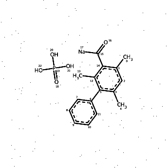 Cc1cc(C)c(-c2ccccc2)c(C)c1[C](=O)[Na].O=P(O)(O)O